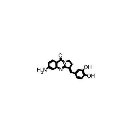 Nc1ccc2c(=O)n3c(nc2c1)C(=Cc1ccc(O)c(O)c1)CC3